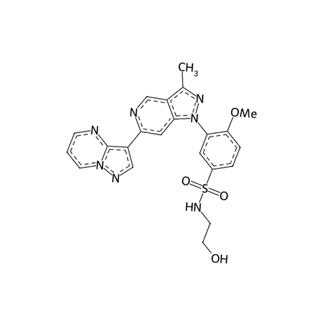 COc1ccc(S(=O)(=O)NCCO)cc1-n1nc(C)c2cnc(-c3cnn4cccnc34)cc21